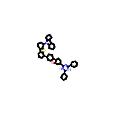 c1ccc(C2=NC(c3ccc4c(c3)oc3cc(-c5cccc6c5sc5c(-n7c8ccccc8c8ccccc87)cccc56)ccc34)NC(c3ccccc3)N2)cc1